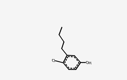 CCCCc1cc(O)ccc1Cl